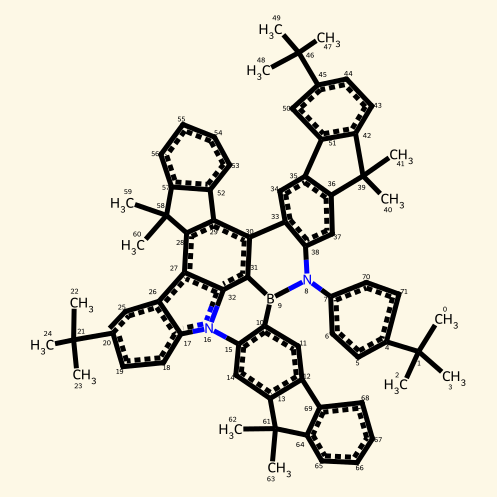 CC(C)(C)c1ccc(N2B3c4cc5c(cc4-n4c6ccc(C(C)(C)C)cc6c6c7c(c(c3c64)-c3cc4c(cc32)C(C)(C)c2ccc(C(C)(C)C)cc2-4)-c2ccccc2C7(C)C)C(C)(C)c2ccccc2-5)cc1